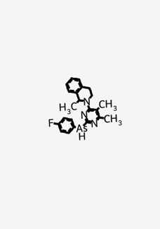 Cc1nc([AsH]c2ccc(F)cc2)nc(N2CCc3ccccc3C2C)c1C